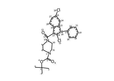 CC(C)(C)OC(=O)N1CCN(C(=O)c2c(Cl)n(-c3ccccc3)c3cc(Cl)ccc23)CC1